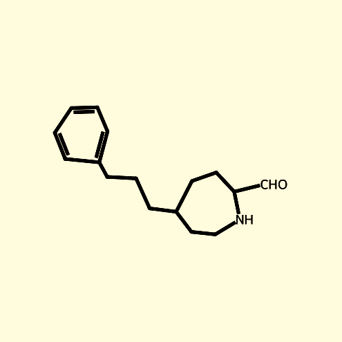 O=CC1CCC(CCCc2ccccc2)CCN1